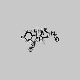 CC(C)(c1ccc(N=C=O)cc1)c1ccccc1N=C=O